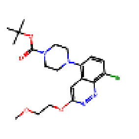 COCCOc1cc2c(N3CCN(C(=O)OC(C)(C)C)CC3)ccc(Br)c2nn1